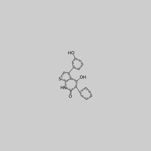 O=c1[nH]c2scc(-c3cccc(O)c3)c2c(O)c1-c1ccccc1